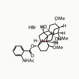 Br.CCN1C[C@]2(OC(=O)c3ccccc3NC(C)=O)CC[C@H](OC)[C@@]34[C@@H]2C[C@@H]([C@@H]13)[C@@]1(O)C[C@H](OC)[C@H]2C[C@@H]4[C@]1(O)[C@H]2OC